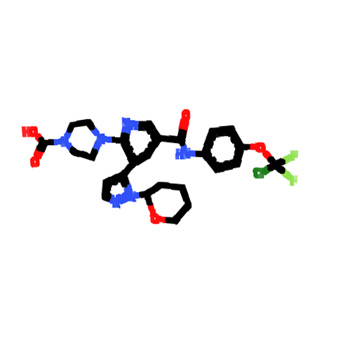 O=C(Nc1ccc(OC(F)(F)Cl)cc1)c1cnc(N2CCN(C(=O)O)CC2)c(-c2ccnn2C2CCCCO2)c1